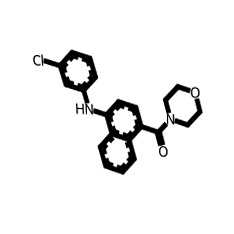 O=C(c1ccc(Nc2cccc(Cl)c2)c2ccccc12)N1CCOCC1